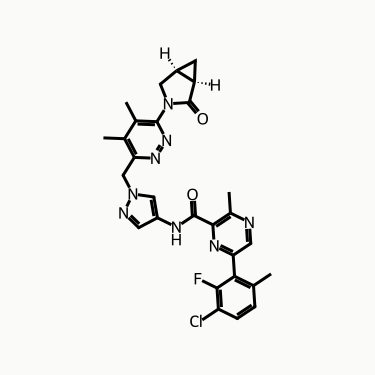 Cc1ccc(Cl)c(F)c1-c1cnc(C)c(C(=O)Nc2cnn(Cc3nnc(N4C[C@H]5C[C@H]5C4=O)c(C)c3C)c2)n1